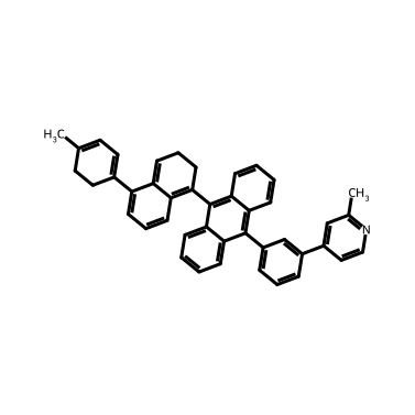 CC1=CC=C(c2cccc3c2=CCCC=3c2c3ccccc3c(-c3cccc(-c4ccnc(C)c4)c3)c3ccccc23)CC1